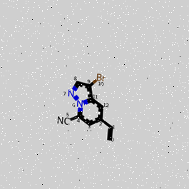 C=Cc1cc(C#N)n2ncc(Br)c2c1